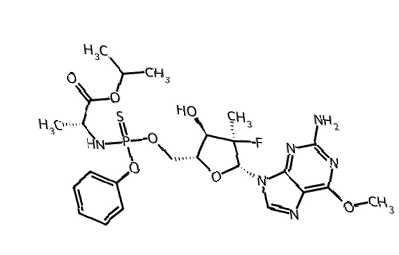 COc1nc(N)nc2c1ncn2[C@@H]1O[C@H](COP(=S)(N[C@H](C)C(=O)OC(C)C)Oc2ccccc2)[C@@H](O)[C@@]1(C)F